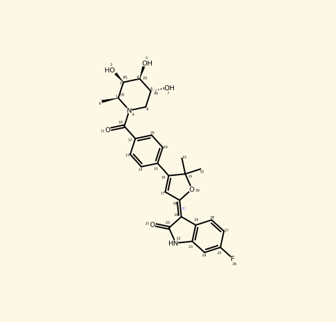 C[C@H]1[C@@H](O)[C@@H](O)[C@H](O)CN1C(=O)c1ccc(C2=C/C(=C3\C(=O)Nc4cc(F)ccc43)OC2(C)C)cc1